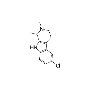 CC1c2[nH]c3ccc(Cl)cc3c2CCN1C